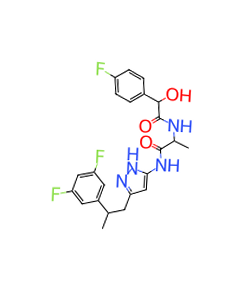 CC(NC(=O)C(O)c1ccc(F)cc1)C(=O)Nc1cc(CC(C)c2cc(F)cc(F)c2)n[nH]1